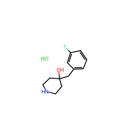 Cl.OC1(Cc2cccc(F)c2)CCNCC1